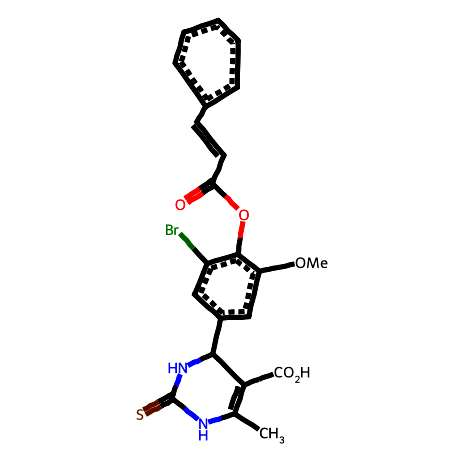 COc1cc(C2NC(=S)NC(C)=C2C(=O)O)cc(Br)c1OC(=O)/C=C/c1ccccc1